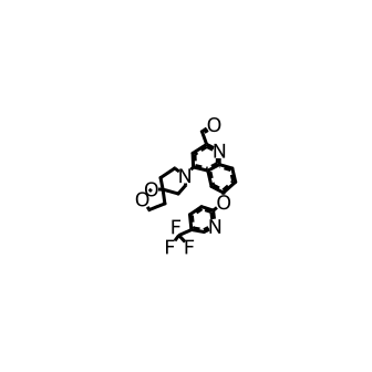 O=Cc1cc(N2CCC3(CCOO3)CC2)c2cc(Oc3ccc(C(F)(F)F)cn3)ccc2n1